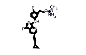 C/N=C(/N)OCCc1cc(Nc2ncc(F)c3cc(C#CC4CC4)cnc23)ccc1F